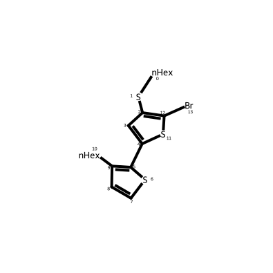 CCCCCCSc1cc(-c2sccc2CCCCCC)sc1Br